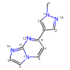 Cn1cc(-c2ccn3ccnc3n2)cn1